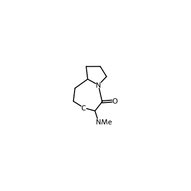 CNC1CCCC2CCCN2C1=O